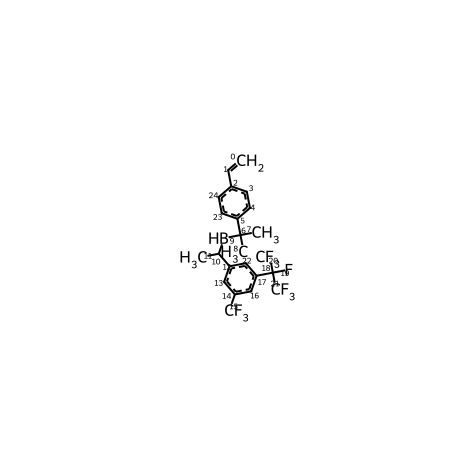 C=Cc1ccc(C(C)(C)BC(C)c2cc(C(F)(F)F)cc(C(F)(C(F)(F)F)C(F)(F)F)c2)cc1